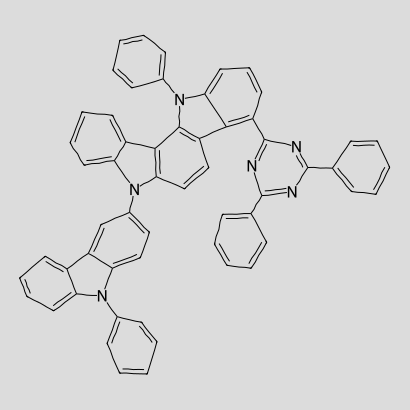 c1ccc(-c2nc(-c3ccccc3)nc(-c3cccc4c3c3ccc5c(c6ccccc6n5-c5ccc6c(c5)c5ccccc5n6-c5ccccc5)c3n4-c3ccccc3)n2)cc1